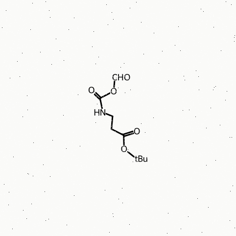 CC(C)(C)OC(=O)CCNC(=O)OC=O